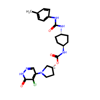 Cc1ccc(NC(=O)N[C@H]2CC[C@H](NC(=O)O[C@@H]3CCN(c4cn[nH]c(=O)c4Cl)C3)CC2)cc1